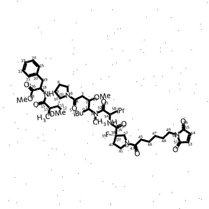 CCC(C)C(C(CC(=O)N1CCC[C@H]1C(OC)C(C)C(=O)NC(Cc1ccccc1)C(=O)OC)OC)N(C)C(=O)C(NC(=O)[C@]1(F)CCN(C(=O)CCCCCN2C(=O)C=CC2=O)C1)C(C)C